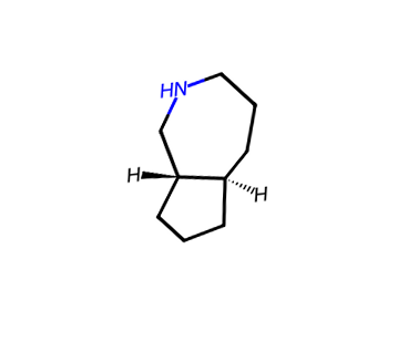 C1CNC[C@H]2CCC[C@@H]2C1